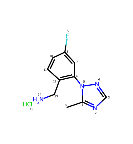 Cc1ncnn1-c1cc(F)ccc1CN.Cl